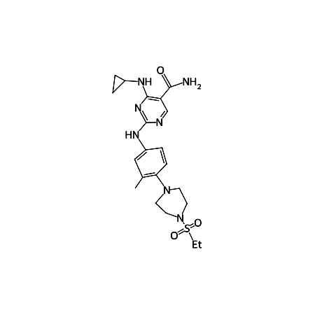 CCS(=O)(=O)N1CCN(c2ccc(Nc3ncc(C(N)=O)c(NC4CC4)n3)cc2C)CC1